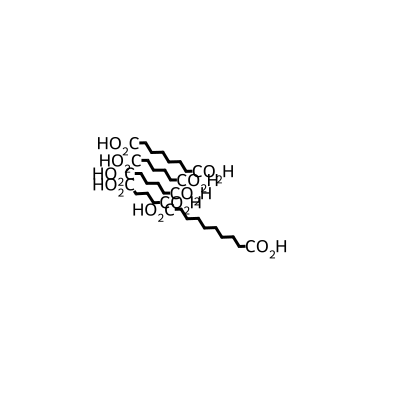 O=C(O)CCCC(=O)O.O=C(O)CCCCC(=O)O.O=C(O)CCCCC(=O)O.O=C(O)CCCCCCC(=O)O.O=C(O)CCCCCCCCC(=O)O